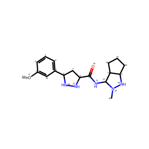 COc1cccc(C2CC(C(=O)NC3C4CCCC4NN3C)NN2)c1